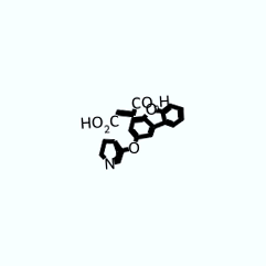 O=C(O)/C=C/C(=O)O.c1ccc2c(c1)oc1ccc(OC3CN4CCC3CC4)cc12